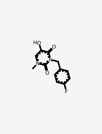 Cn1cc(O)c(=O)n(Cc2ccc(F)cc2)c1=O